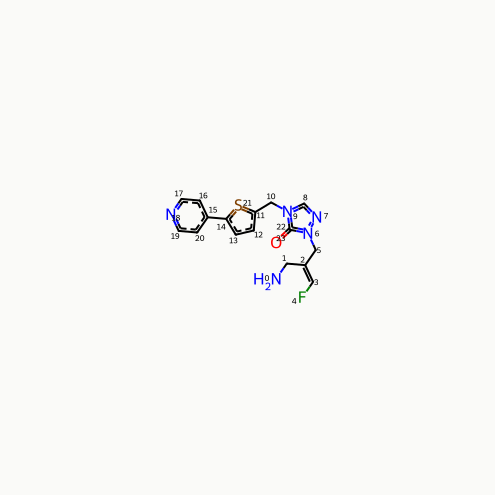 NC/C(=C\F)Cn1ncn(Cc2ccc(-c3ccncc3)s2)c1=O